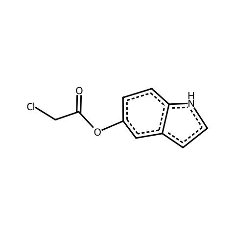 O=C(CCl)Oc1ccc2[nH]ccc2c1